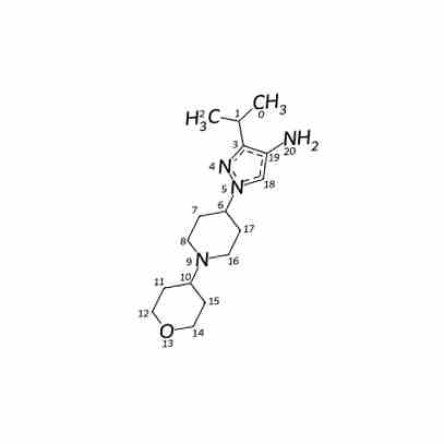 CC(C)c1nn(C2CCN(C3CCOCC3)CC2)cc1N